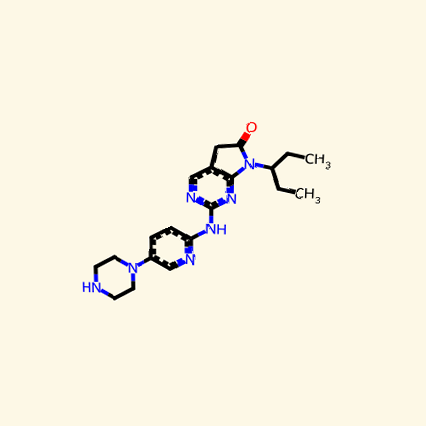 CCC(CC)N1C(=O)Cc2cnc(Nc3ccc(N4CCNCC4)cn3)nc21